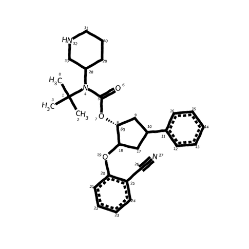 CC(C)(C)N(C(=O)O[C@@H]1CC(c2ccccc2)CC1Oc1ccccc1C#N)C1CCCNC1